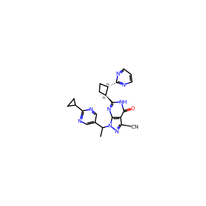 CC(c1cnc(C2CC2)nc1)n1nc(C#N)c2c(=O)[nH]c([C@H]3CC[C@@H]3c3ncccn3)nc21